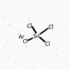 [Ar].[Cl][Sn]([Cl])([Cl])[Cl]